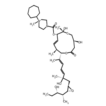 CC[C@H](O)[C@@H](C)[C@H]1O[C@@H]1C[C@@](C)(O)/C=C/C=C(\C)[C@H]1OC(=O)C[C@H](O)CC[C@@](C)(O)[C@@H](OC(=O)N2CC[N+](C)(C3CCCCCC3)CC2)/C=C/[C@@H]1C